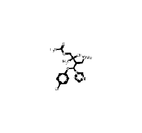 COCC(C(Oc1ccc(Cl)cc1)n1cncn1)C(C)(C)COC(N)=O